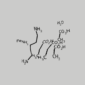 CC(=O)O.CC(=O)O.CC(=O)O.CC(=O)O.N.NCCCN.O.[Fe]